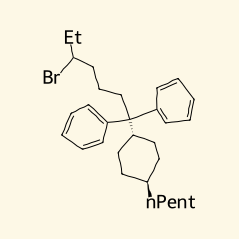 CCCCC[C@H]1CC[C@H](C(CCCC(Br)CC)(c2ccccc2)c2ccccc2)CC1